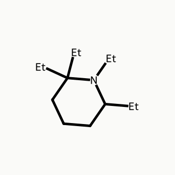 CCC1CCCC(CC)(CC)N1CC